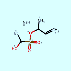 C=CC(C)OS(=O)(=O)C(O)CC.[NaH]